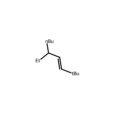 CCCCC(C=CC(C)(C)C)CC